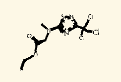 CCOC(=O)CN(C)c1nc(C(Cl)(Cl)Cl)ns1